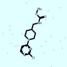 CC(C)(C)OC(=O)NCC1CCN(c2ccnc(Cl)n2)CC1